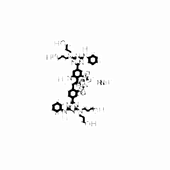 Nc1cc(-c2nc(Nc3ccccc3)nc(N(CCCO)CCCO)n2)cc(S(=O)(=O)[O-])c1C=Cc1ccc(-c2nc(Nc3ccccc3)nc(N(CCCO)CCCO)n2)cc1S(=O)(=O)[O-].[Na+].[Na+]